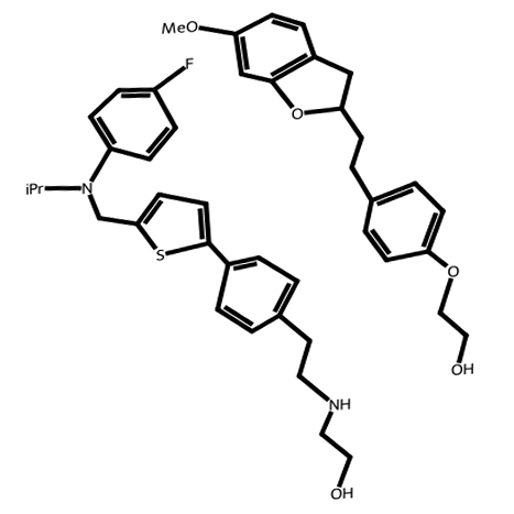 CC(C)N(Cc1ccc(-c2ccc(CCNCCO)cc2)s1)c1ccc(F)cc1.COc1ccc2c(c1)OC(CCc1ccc(OCCO)cc1)C2